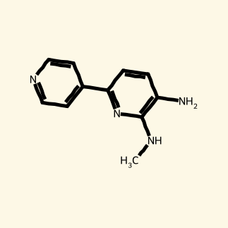 CNc1nc(-c2ccncc2)ccc1N